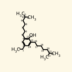 CCc1cc(CCCCCC(C)C)c(O)c(CCCCCC(C)C)c1